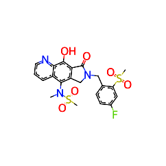 CN(c1c2c(c(O)c3ncccc13)C(=O)N(Cc1ccc(F)cc1S(C)(=O)=O)C2)S(C)(=O)=O